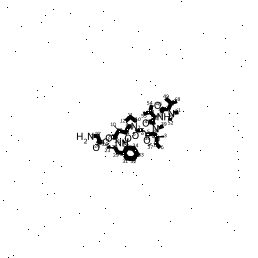 CC[C@H](C)C([C@@H](CC(=O)N1CCC[C@H]1[C@H](OC)[C@@H](C)C(=O)N[C@H](COC(=O)CN)Cc1ccccc1)OC)N(C)C(=O)[C@@H](NC(=O)C(C(C)C)N(C)C)C(C)C